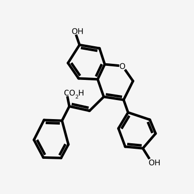 O=C(O)C(=CC1=C(c2ccc(O)cc2)COc2cc(O)ccc21)c1ccccc1